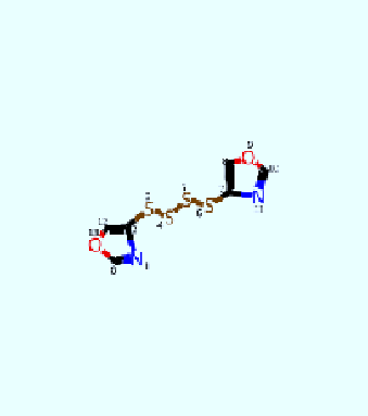 c1nc(SSSSc2cocn2)co1